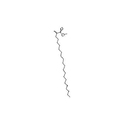 C=C(CCCCCCCCCCCCCCCCCCCC)C(=O)OC